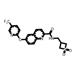 O=C(NCC1CS(=O)(=O)C1)c1ccc2cc(Oc3ccc(C(F)(F)F)cn3)ccc2n1